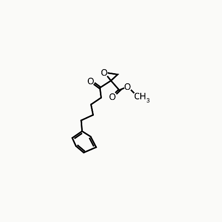 COC(=O)C1(C(=O)CCCCc2ccccc2)CO1